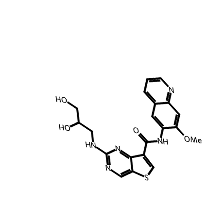 COc1cc2ncccc2cc1NC(=O)c1csc2cnc(NCC(O)CO)nc12